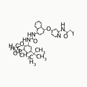 COc1c(NC(=O)Nc2ccc(Oc3ccnc(NC(=O)CI)c3)c3ccccc23)cc(C(C)(C)C)cc1P(C)(C)=O